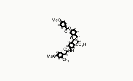 COc1ccc(C(=O)Oc2ccc(CN(CC(=O)O)C(=O)c3ccc(NC(=O)Cc4ccc(OC)cc4C(F)(F)F)cc3)cc2)cc1